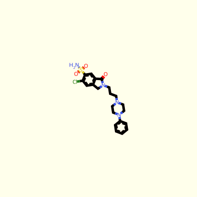 NS(=O)(=O)c1cc2c(cc1Cl)CN(CCCN1CCN(c3ccccc3)CC1)C2=O